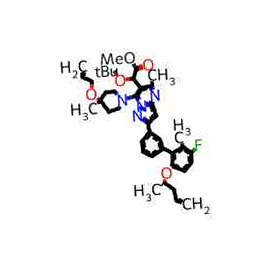 C=CCOC1(C)CCN(c2c(C(OC(C)(C)C)C(=O)OC)c(C)nc3cc(-c4cccc(-c5c(O[C@@H](C)CC=C)ccc(F)c5C)c4)nn23)CC1